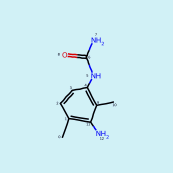 Cc1ccc(NC(N)=O)c(C)c1N